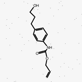 C=CCOC(=O)Nc1ccc(CCCO)cc1